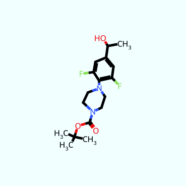 CC(O)c1cc(F)c(N2CCN(C(=O)OC(C)(C)C)CC2)c(F)c1